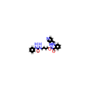 O=C(NCCCCONC(=O)c1ccccc1NCc1ccncc1)Nc1ccccc1